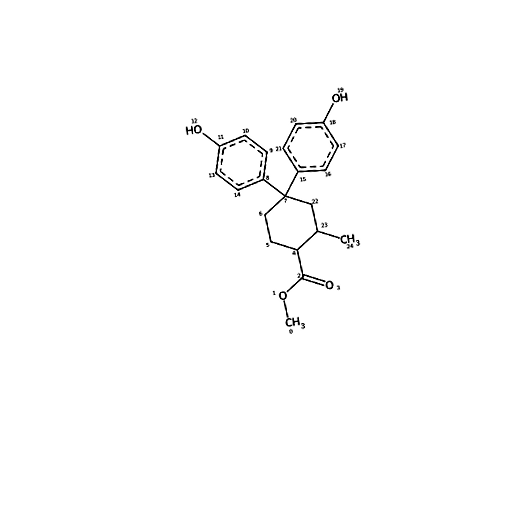 COC(=O)C1CCC(c2ccc(O)cc2)(c2ccc(O)cc2)CC1C